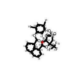 O=C(Oc1c(I)cc(I)cc1I)c1cccc2cccc(C(=O)OC(CS(=O)(=O)O)(C(F)(F)F)C(F)(F)F)c12